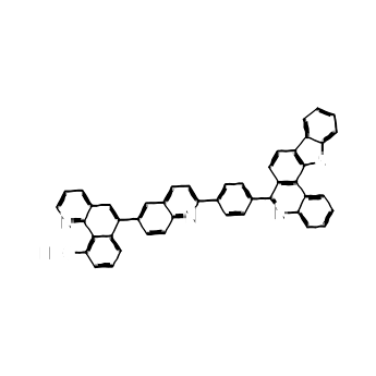 Cc1cccc2c(-c3ccc4nc(-c5ccc(-c6nc7ccccc7c7c6ccc6c8ccccc8sc67)cc5)ccc4c3)cc3cccnc3c12